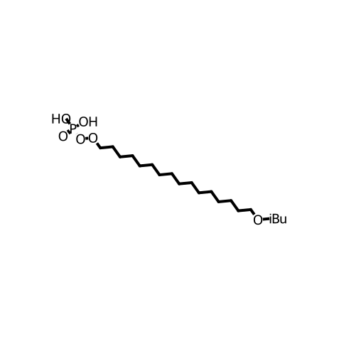 CCC(C)OCCCCCCCCCCCCCCCCOOP(=O)(O)O